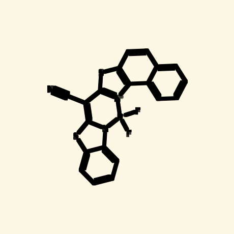 N#CC1=C2Sc3ccccc3N2[B-](F)(F)[n+]2c1sc1ccc3ccccc3c12